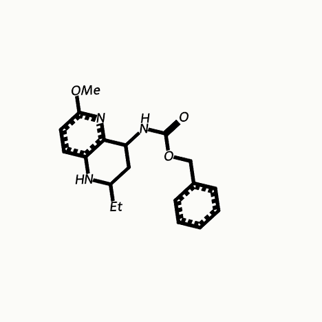 CCC1CC(NC(=O)OCc2ccccc2)c2nc(OC)ccc2N1